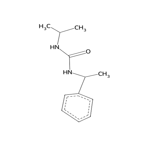 CC(C)NC(=O)NC(C)c1ccccc1